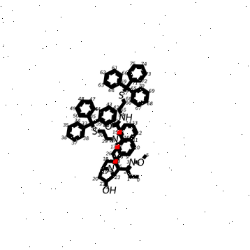 CCC(=NOC)C1C(c2ccc3ccccc3c2)CC2CC(O)C1N2CCCN(CCSC(c1ccccc1)(c1ccccc1)c1ccccc1)CC(=O)NCCSC(c1ccccc1)(c1ccccc1)c1ccccc1